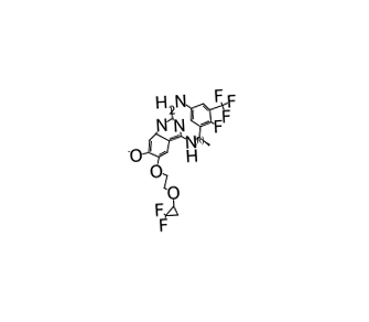 COc1cc2nc(C)nc(N[C@H](C)c3cc(N)cc(C(F)(F)F)c3F)c2cc1OCCOC1CC1(F)F